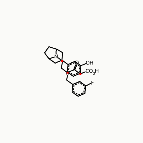 O=C(O)CC(=O)N(CCN1C2CCC1CC(c1cccc(O)c1)C2)Cc1cccc(F)c1